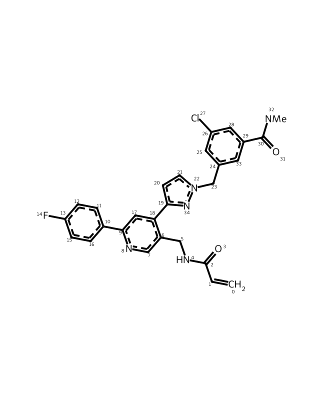 C=CC(=O)NCc1cnc(-c2ccc(F)cc2)cc1-c1ccn(Cc2cc(Cl)cc(C(=O)NC)c2)n1